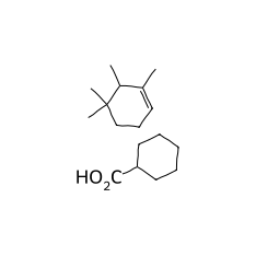 CC1=CCCC(C)(C)C1C.O=C(O)C1CCCCC1